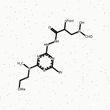 CCCCCC(CN(O)C=O)C(=O)NNc1nc(C(C)C)nc(N(C)CCOC)n1